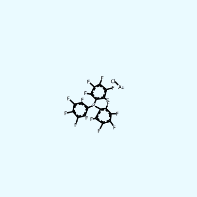 Fc1c(F)c(F)c(P(c2c(F)c(F)c(F)c(F)c2F)c2c(F)c(F)c(F)c(F)c2F)c(F)c1F.[Cl][Au]